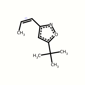 C/C=C\c1cc(C(C)(C)C)on1